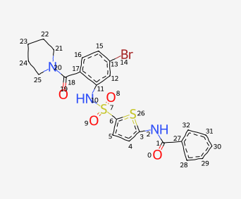 O=C(Nc1ccc(S(=O)(=O)Nc2cc(Br)ccc2C(=O)N2CCCCC2)s1)c1ccccc1